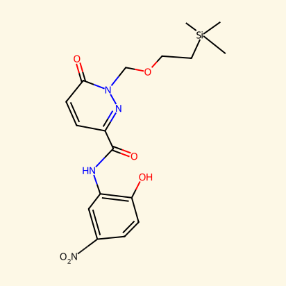 C[Si](C)(C)CCOCn1nc(C(=O)Nc2cc([N+](=O)[O-])ccc2O)ccc1=O